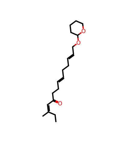 CCC(C)=CC(=O)CCC=CCCC=CCOC1CCCCO1